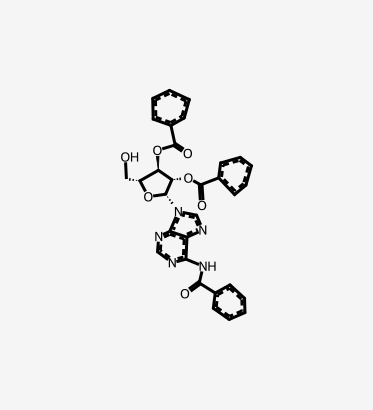 O=C(Nc1ncnc2c1ncn2[C@@H]1O[C@H](CO)[C@@H](OC(=O)c2ccccc2)[C@@H]1OC(=O)c1ccccc1)c1ccccc1